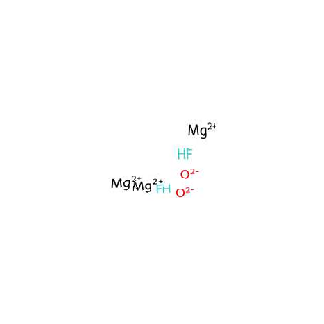 F.F.[Mg+2].[Mg+2].[Mg+2].[O-2].[O-2]